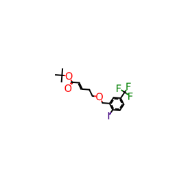 CC(C)(C)OC(=O)/C=C/CCOCc1cc(C(F)(F)F)ccc1I